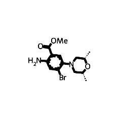 COC(=O)c1cc(N2C[C@@H](C)O[C@@H](C)C2)c(Br)cc1N